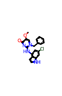 COc1cn(Cc2ccccc2)c(Nc2cc(Cl)cc3[nH]ccc23)nc1=O